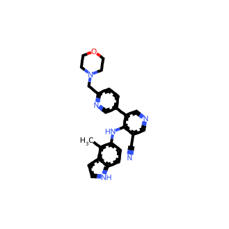 Cc1c(Nc2c(C#N)cncc2-c2ccc(CN3CCOCC3)nc2)ccc2[nH]ccc12